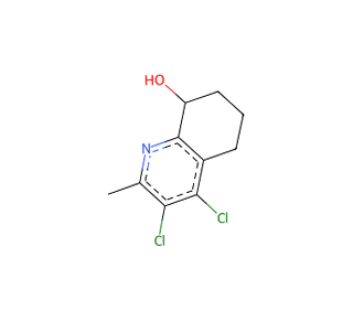 Cc1nc2c(c(Cl)c1Cl)CCCC2O